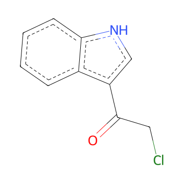 O=C(CCl)c1c[nH]c2ccccc12